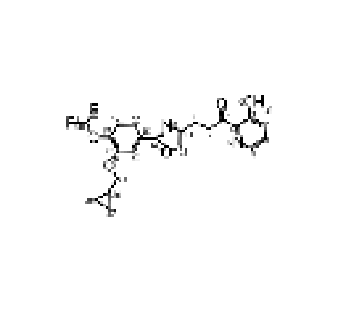 Cc1cccnc1C(=O)CCc1coc(-c2ccc(OC(F)F)c(OCC3CC3)c2)n1